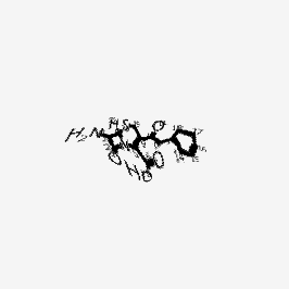 NC1C(=O)N2C(C(=O)O)=C(C(=O)Cc3ccccc3)CS[C@H]12